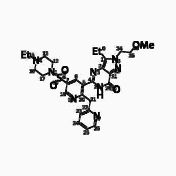 CCc1c2nc(-c3cc(S(=O)(=O)N4CCN(CC)CC4)cnc3Cc3ccccn3)[nH]c(=O)c2nn1CCOC